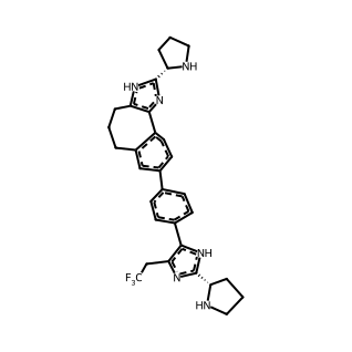 FC(F)(F)Cc1nc([C@@H]2CCCN2)[nH]c1-c1ccc(-c2ccc3c(c2)CCCc2[nH]c([C@@H]4CCCN4)nc2-3)cc1